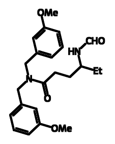 CCC(CCC(=O)N(Cc1cccc(OC)c1)Cc1cccc(OC)c1)NC=O